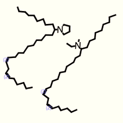 CCCCC/C=C\C/C=C\CCCCCCCCCC(CCCCCCCCC)N(C)CC.CCCCC/C=C\C/C=C\CCCCCCCCCC(CCCCCCCCC)N1CCCC1